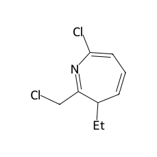 CCC1C=CC=C(Cl)N=C1CCl